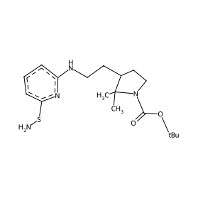 CC(C)(C)OC(=O)N1CCC(CCNc2cccc(SN)n2)C1(C)C